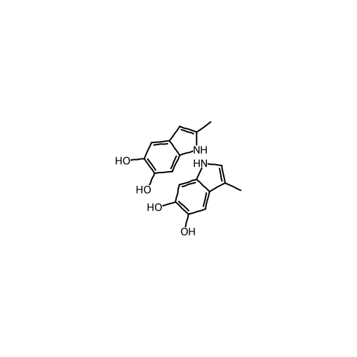 Cc1c[nH]c2cc(O)c(O)cc12.Cc1cc2cc(O)c(O)cc2[nH]1